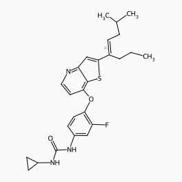 CCC/C(=C\CC(C)C)c1cc2nccc(Oc3ccc(NC(=O)NC4CC4)cc3F)c2s1